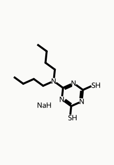 CCCCN(CCCC)c1nc(S)nc(S)n1.[NaH]